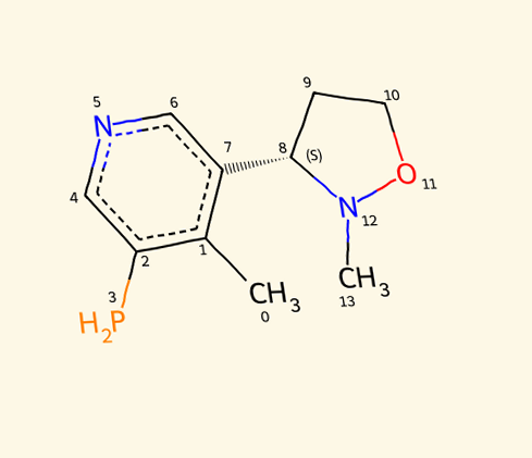 Cc1c(P)cncc1[C@@H]1CCON1C